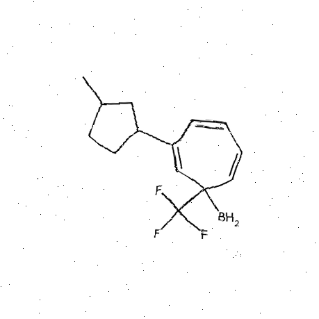 BC1(C(F)(F)F)C=CC=CC(C2CCC(C)C2)=C1